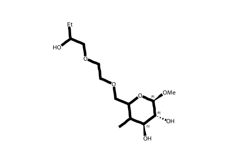 CCC(O)COCCOCC1O[C@@H](OC)[C@H](O)[C@@H](O)C1C